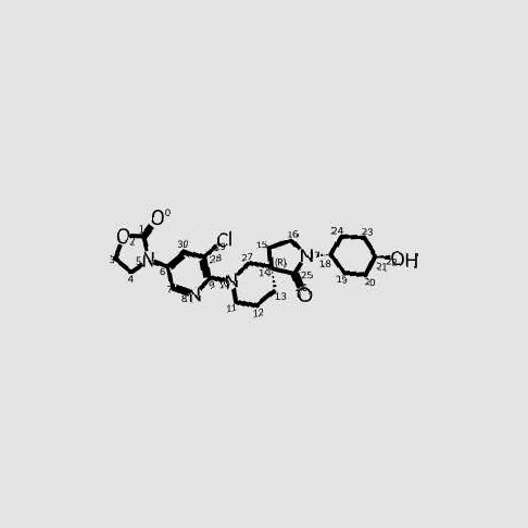 O=C1OCCN1c1cnc(N2CCC[C@@]3(CCN([C@H]4CC[C@H](O)CC4)C3=O)C2)c(Cl)c1